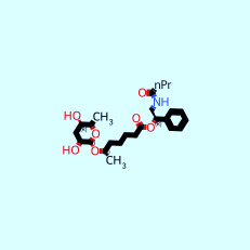 CCCC(=O)NC[C@H](OC(=O)CCCC[C@@H](C)O[C@@H]1OC(C)[C@H](O)CC1O)c1ccccc1